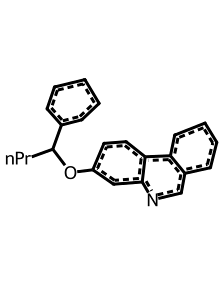 CCCC(Oc1ccc2c(c1)ncc1ccccc12)c1ccccc1